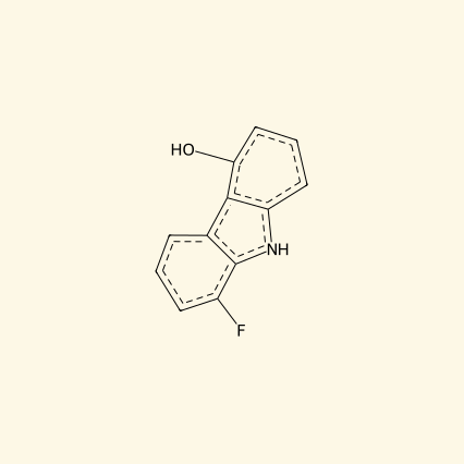 Oc1cccc2[nH]c3c(F)cccc3c12